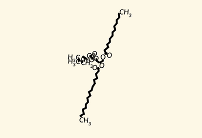 CCCCCCCCCCCCCCCCCC(=O)OC(COC(=O)CCCCCCCCCCCCCC)COP(=O)(O)OCC[N+](C)(C)C